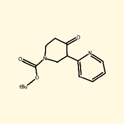 CC(C)(C)OC(=O)N1CCC(=O)C(c2ccccn2)C1